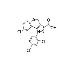 O=C(O)c1nn(-c2ccc(Cl)cc2Cl)c2c1CSc1ccc(Cl)cc1-2